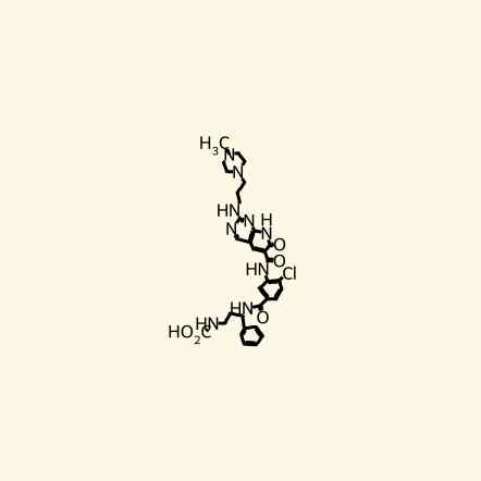 CN1CCN(CCCNc2ncc3cc(C(=O)Nc4cc(C(=O)NC(CCNC(=O)O)c5ccccc5)ccc4Cl)c(=O)[nH]c3n2)CC1